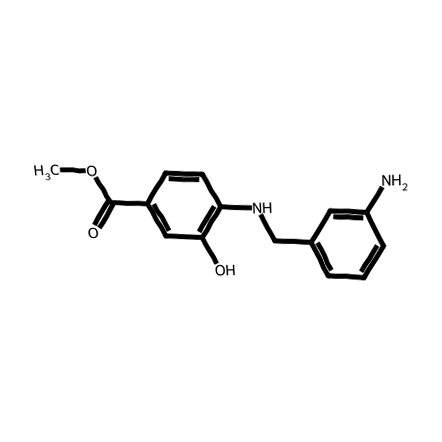 COC(=O)c1ccc(NCc2cccc(N)c2)c(O)c1